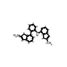 CC1=Cc2cccc(Pc3ccccc3-c3cccc4c3CC(C)=C4)c2C1